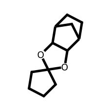 C1CCC2(C1)OC1C3CCC(C3)C1O2